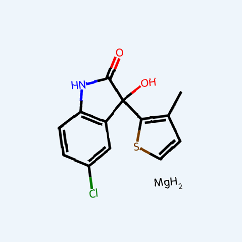 Cc1ccsc1C1(O)C(=O)Nc2ccc(Cl)cc21.[MgH2]